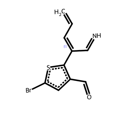 C=C/C=C(\C=N)c1sc(Br)cc1C=O